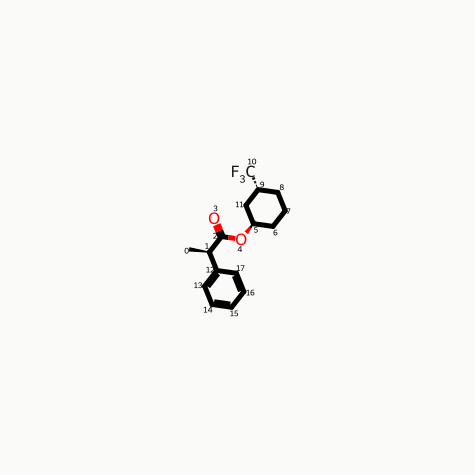 C[C@@H](C(=O)O[C@@H]1CCC[C@@H](C(F)(F)F)C1)c1ccccc1